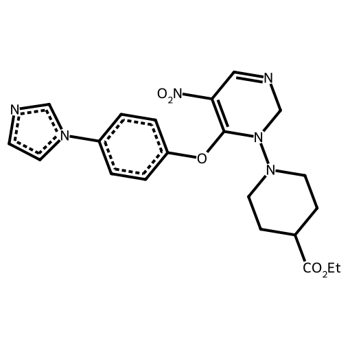 CCOC(=O)C1CCN(N2CN=CC([N+](=O)[O-])=C2Oc2ccc(-n3ccnc3)cc2)CC1